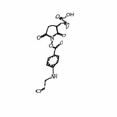 O=ICNc1ccc(C(=O)ON2C(=O)CC(S(=O)(=O)O)C2=O)cc1